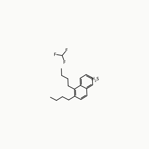 CCCCc1ccc2ccccc2c1CCCC.FC(F)F.S